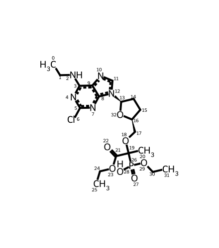 CCNc1nc(Cl)nc2c1ncn2[C@H]1CC[C@@H](COC(C)(C(=O)OCC)P(=O)(O)OCC)O1